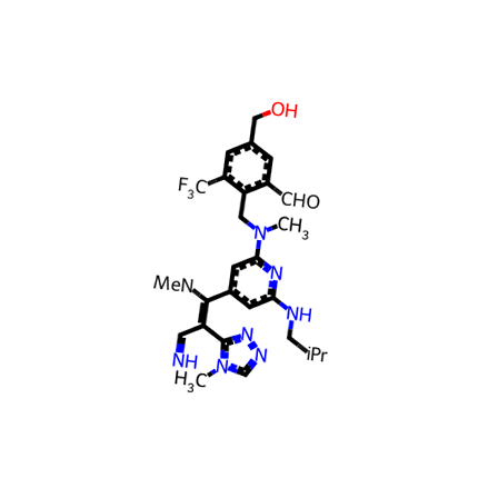 CN/C(=C(\C=N)c1nncn1C)c1cc(NCC(C)C)nc(N(C)Cc2c(C=O)cc(CO)cc2C(F)(F)F)c1